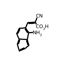 N#CC(=Cc1ccc2ccccc2c1N)C(=O)O